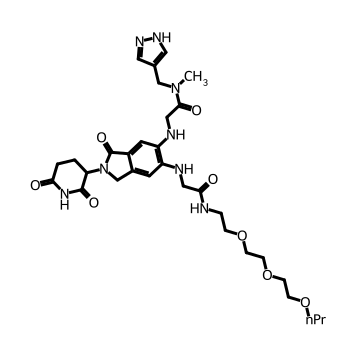 CCCOCCOCCOCCNC(=O)CNc1cc2c(cc1NCC(=O)N(C)Cc1cn[nH]c1)C(=O)N(C1CCC(=O)NC1=O)C2